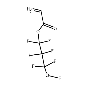 C=CC(=O)OC(F)(F)C(F)(F)C(F)(F)OF